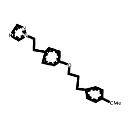 COc1ccc(CCCOc2ccc(CCn3cncn3)cc2)cc1